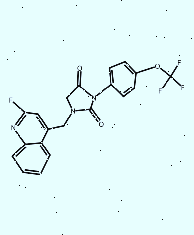 O=C1CN(Cc2cc(F)nc3ccccc23)C(=O)N1c1ccc(OC(F)(F)F)cc1